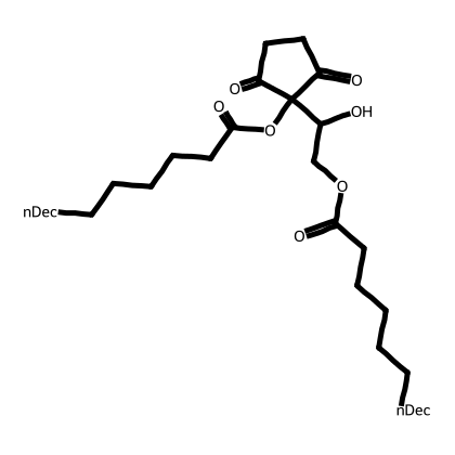 CCCCCCCCCCCCCCCC(=O)OCC(O)C1(OC(=O)CCCCCCCCCCCCCCC)C(=O)CCC1=O